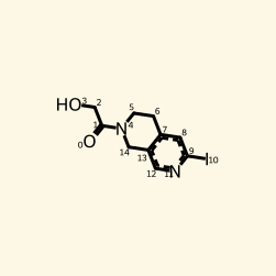 O=C(CO)N1CCc2cc(I)ncc2C1